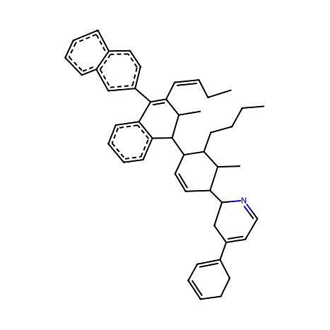 CC/C=C\C1=C(c2ccc3ccccc3c2)c2ccccc2C(C2C=CC(C3CC(C4=CC=CCC4)=CC=N3)C(C)C2CCCC)C1C